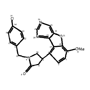 COc1ccc(C2CC(=O)N(Cc3ccc(Cl)cc3)C2)c2c1oc1cncnc12